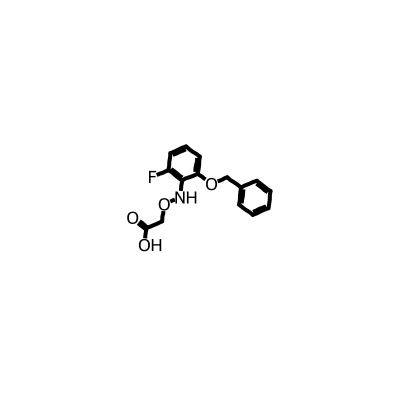 O=C(O)CONc1c(F)cccc1OCc1ccccc1